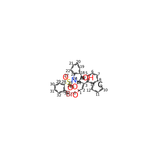 O=C1C=C(c2cccc3ccccc23)[C@]2(O1)[C@@H](O)c1ccccc1N2S(=O)(=O)c1ccccc1Br